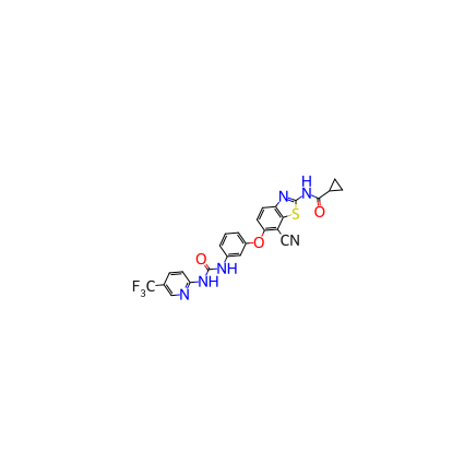 N#Cc1c(Oc2cccc(NC(=O)Nc3ccc(C(F)(F)F)cn3)c2)ccc2nc(NC(=O)C3CC3)sc12